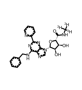 [2H]C([2H])([2H])NC(=O)[C@H]1O[C@@H](n2cnc3c(NCc4ccccc4)nc(-c4ccccn4)nc32)[C@H](O)[C@@H]1O